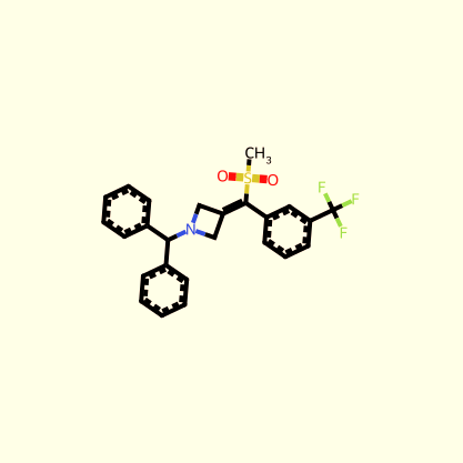 CS(=O)(=O)C(=C1CN(C(c2ccccc2)c2ccccc2)C1)c1cccc(C(F)(F)F)c1